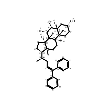 CC[C@H]1[C@@H](O)[C@@H]2[C@H](CC[C@]3(C)[C@@H]([C@H](C)CC=C(c4ccccc4)c4ccccc4)CC[C@@H]23)[C@@]2(C)CC[C@@H](O)C[C@@H]12